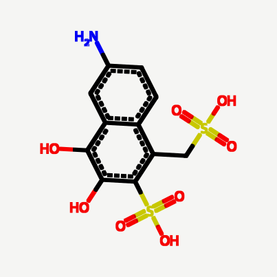 Nc1ccc2c(CS(=O)(=O)O)c(S(=O)(=O)O)c(O)c(O)c2c1